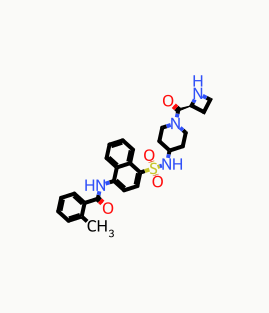 Cc1ccccc1C(=O)Nc1ccc(S(=O)(=O)NC2CCN(C(=O)[C@@H]3CCN3)CC2)c2ccccc12